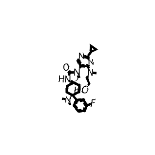 CN(CCO)c1nc(C2CC2)ncc1N1C[C@]2(CC[C@](c3cccc(F)c3)(N(C)C)CC2)NC1=O